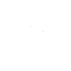 [C]#Cc1ccc(N2CCOCC2)nc1